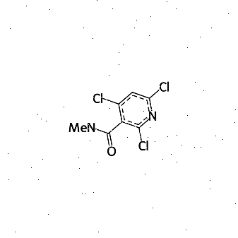 CNC(=O)c1c(Cl)cc(Cl)nc1Cl